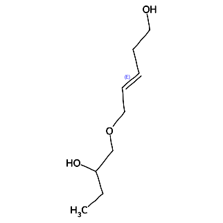 CCC(O)COC/C=C/CCO